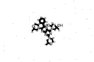 CC1CN(c2nc(N(CC(C)(C)O)C(C)O)c3nc(-c4ccccc4)c(N4CCOC(C)C4)nc3n2)CCO1